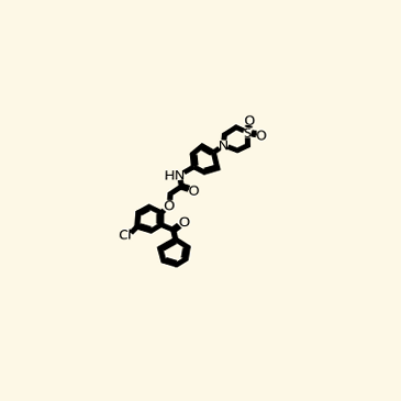 O=C(COc1ccc(Cl)cc1C(=O)c1ccccc1)Nc1ccc(N2CCS(=O)(=O)CC2)cc1